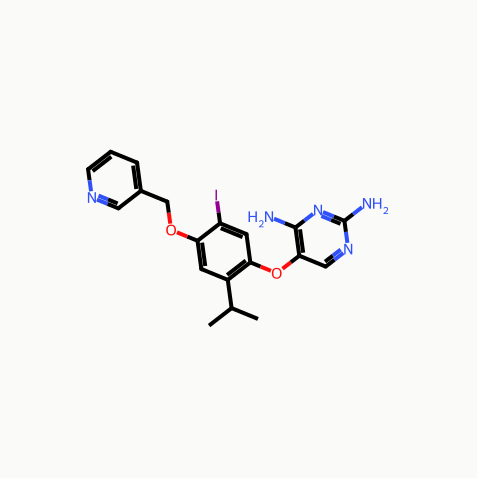 CC(C)c1cc(OCc2cccnc2)c(I)cc1Oc1cnc(N)nc1N